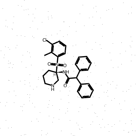 Cc1c(Cl)cccc1S(=O)(=O)[C@@]1(NC(=O)C(c2ccccc2)c2ccccc2)CCCNC1